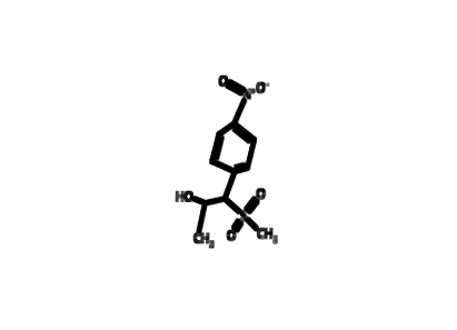 CC(O)C(c1ccc([N+](=O)[O-])cc1)S(C)(=O)=O